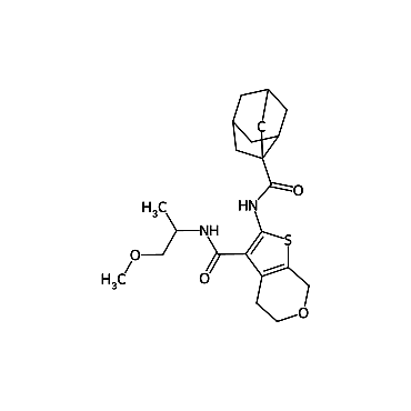 COCC(C)NC(=O)c1c(NC(=O)C23CC4CC(CC2C4)C3)sc2c1CCOC2